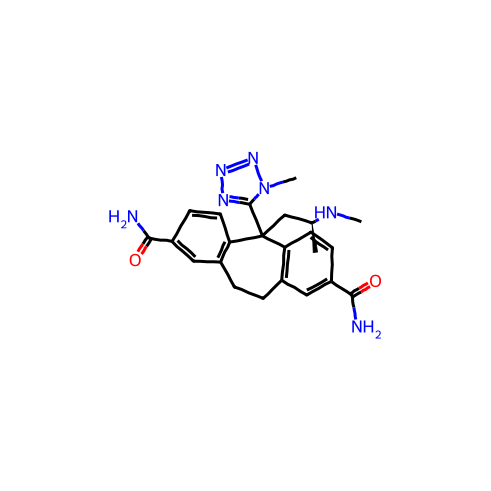 CN[C@@H](C)CC1(c2nnnn2C)c2ccc(C(N)=O)cc2CCc2cc(C(N)=O)ccc21